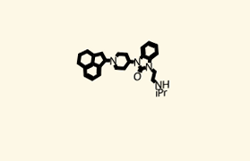 CC(C)NCCn1c(=O)n(C2CCN(C3CC4CCCc5cccc3c54)CC2)c2ccccc21